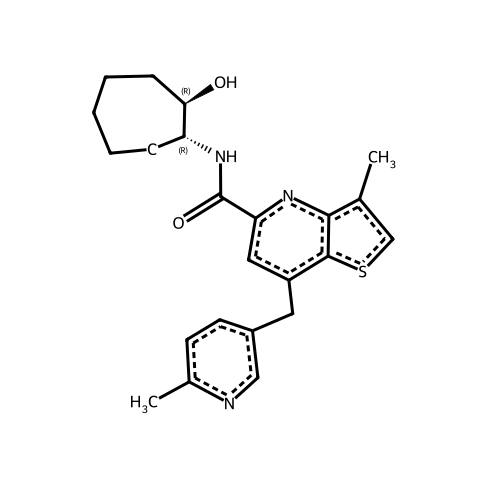 Cc1ccc(Cc2cc(C(=O)N[C@@H]3CCCCC[C@H]3O)nc3c(C)csc23)cn1